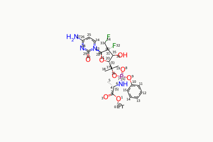 CC(C)OC(=O)[C@H](C)N[P@](=O)(Oc1ccccc1)OC(C)(C)[C@H]1O[C@@H](n2ccc(N)nc2=O)[C@@](F)(CF)C1O